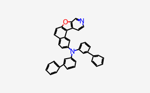 c1ccc(-c2cccc(N(c3cccc(-c4ccccc4)c3)c3ccc4ccc5oc6cnccc6c5c4c3)c2)cc1